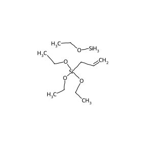 C=CC[Si](OCC)(OCC)OCC.CCO[SiH3]